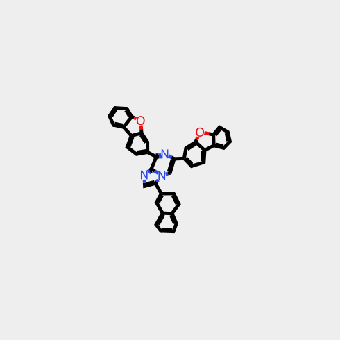 c1ccc2cc(-c3cnc4c(-c5ccc6c(c5)oc5ccccc56)nc(-c5ccc6c(c5)oc5ccccc56)cn34)ccc2c1